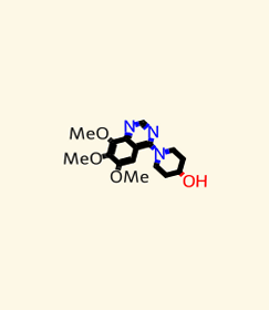 COc1cc2c(N3CCC(O)CC3)ncnc2c(OC)c1OC